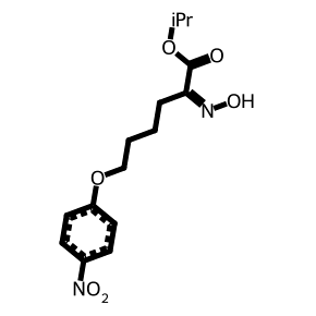 CC(C)OC(=O)C(CCCCOc1ccc([N+](=O)[O-])cc1)=NO